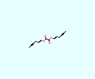 CC#CCC=COC(=O)C(=O)OC=CCC#CC